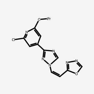 CC(C)Oc1cc(-c2ncn(/C=C\c3nnco3)n2)cc(Cl)n1